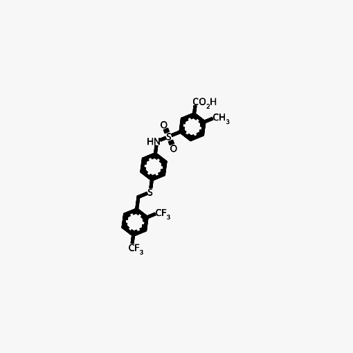 Cc1ccc(S(=O)(=O)Nc2ccc(SCc3ccc(C(F)(F)F)cc3C(F)(F)F)cc2)cc1C(=O)O